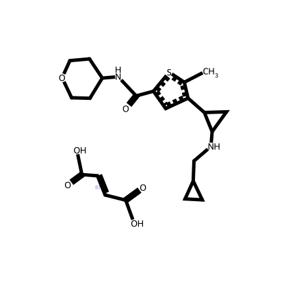 Cc1sc(C(=O)NC2CCOCC2)cc1C1CC1NCC1CC1.O=C(O)/C=C/C(=O)O